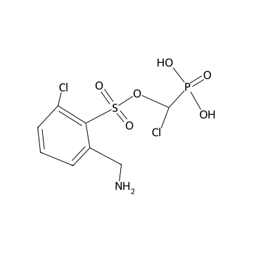 NCc1cccc(Cl)c1S(=O)(=O)OC(Cl)P(=O)(O)O